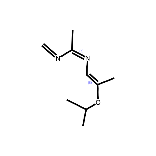 C=N/C(C)=N\C=C(/C)OC(C)C